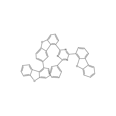 c1ccc(-c2nc(-c3cccc4c3oc3ccccc34)nc(-c3cccc4oc5ccc(-c6cccc7oc8ccccc8c67)cc5c34)n2)cc1